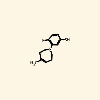 CC1=CCCN(c2cc(S)ccc2F)CC1